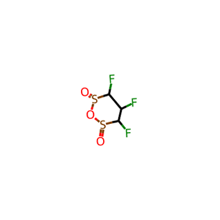 O=S1OS(=O)C(F)C(F)C1F